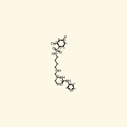 CC(C)C[C@@H](CNCCCCNS(=O)(=O)c1ccc(Cl)cc1Cl)NC(=O)Nc1ccsc1